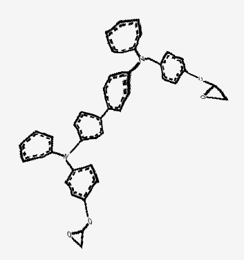 c1ccc(N(c2ccc(OC3CO3)cc2)c2ccc(-c3ccc(N(c4ccccc4)c4ccc(OC5CO5)cc4)cc3)cc2)cc1